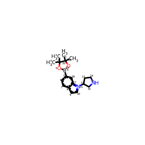 CC1(C)OB(c2ccc3ccn(C4CCNC4)c3c2)OC1(C)C